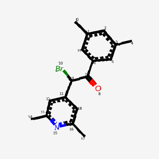 Cc1cc(C)cc(C(=O)C(Br)c2cc(C)nc(C)c2)c1